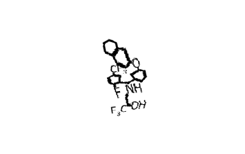 OC(CNC(c1cccc(Oc2ccc3c(c2)CCCC3)c1)c1cc(C(F)(F)F)ccc1F)C(F)(F)F